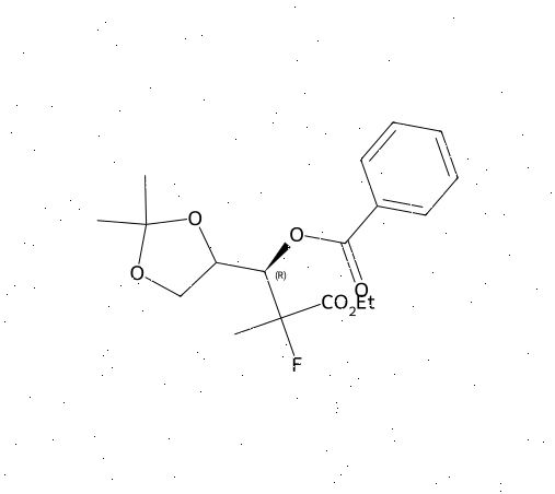 CCOC(=O)C(C)(F)[C@H](OC(=O)c1ccccc1)C1COC(C)(C)O1